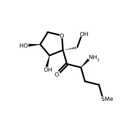 CSCC[C@H](N)C(=O)[C@]1(CO)O[CH][C@H](O)[C@@H]1O